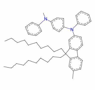 CCCCCCCCCCC1(CCCCCCCCCC)c2cc(C)ccc2-c2ccc(N(c3ccccc3)c3ccc(N(C)c4ccccc4)cc3)cc21